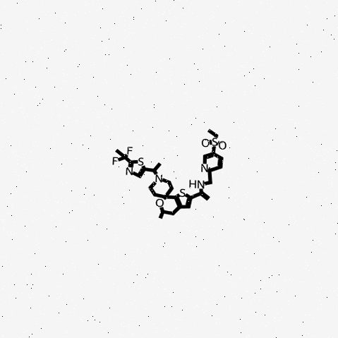 C=C(NCc1ccc(S(=O)(=O)CC)cn1)c1cc2c(s1)C1(CCN(C(C)c3cnc(C(C)(F)F)s3)CC1)OC(C)C2